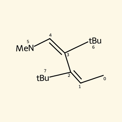 C/C=C(\C(=C/NC)C(C)(C)C)C(C)(C)C